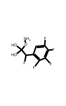 OC(O)(O[SiH3])C(F)c1cc(F)c(F)c(F)c1F